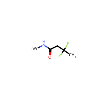 CCCNC(=O)CC(C)(F)F